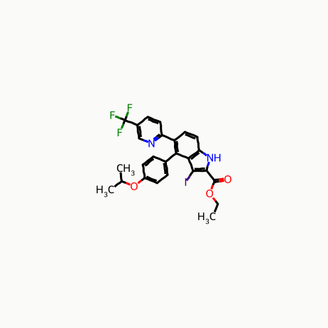 CCOC(=O)c1[nH]c2ccc(-c3ccc(C(F)(F)F)cn3)c(-c3ccc(OC(C)C)cc3)c2c1I